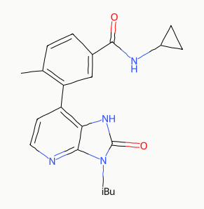 CCC(C)n1c(=O)[nH]c2c(-c3cc(C(=O)NC4CC4)ccc3C)ccnc21